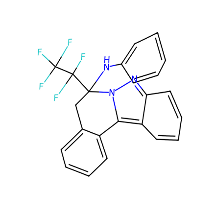 FC(F)(F)C(F)(F)C1(Nc2ccccc2)Cc2ccccc2-c2c3ccccc3nn21